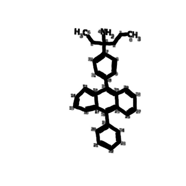 CCCC(N)(CC)c1ccc(-c2c3ccccc3c(-c3ccccc3)c3ccccc23)cc1